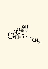 CCCCSC(c1nc2ccccc2[nH]1)S(=O)(=O)O